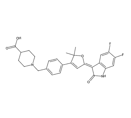 CC1(C)O/C(=C2/C(=O)Nc3cc(F)c(F)cc32)C=C1c1ccc(CN2CCC(C(=O)O)CC2)cc1